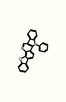 c1ccc(-n2c3ccccc3c3cnc4c(ccc5c6ccccc6oc54)c32)cc1